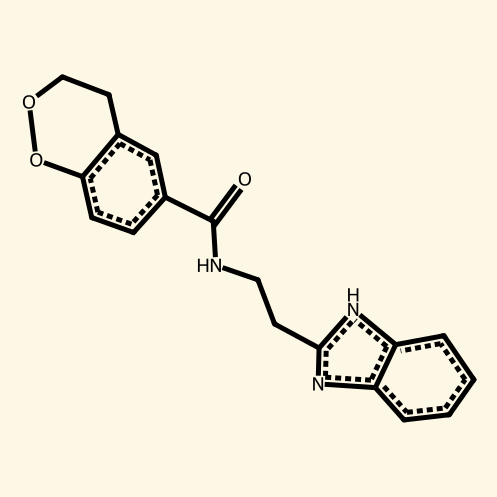 O=C(NCCc1nc2ccccc2[nH]1)c1ccc2c(c1)CCOO2